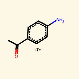 CC(=O)c1ccc(N)cc1.[Te]